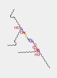 CCCCC/C=C\C/C=C\CCCCCC[C@H](O)CN(CCCCSSCCN1CCN(CCOC(=O)CCCN(CC(O)CCCCCCCCCCCC)CC(O)CCCCCCCCCCCC)CC1)C[C@@H](O)CCCCCC/C=C\C/C=C\CCCCC